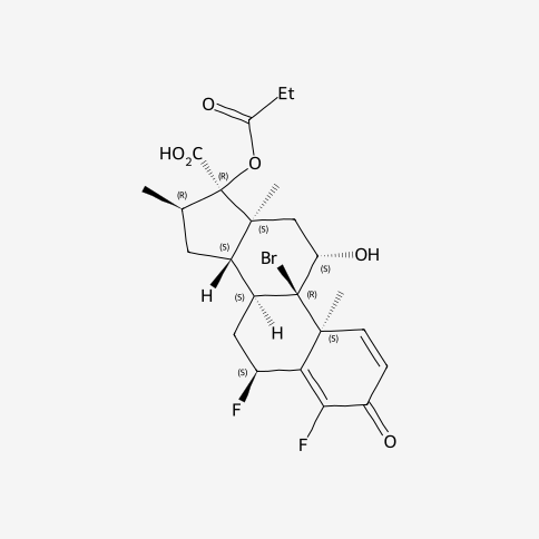 CCC(=O)O[C@]1(C(=O)O)[C@H](C)C[C@H]2[C@@H]3C[C@H](F)C4=C(F)C(=O)C=C[C@]4(C)[C@@]3(Br)[C@@H](O)C[C@@]21C